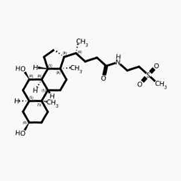 C[C@H](CCC(=O)NCCS(C)(=O)=O)[C@H]1CC[C@H]2[C@@H]3[C@H](O)C[C@@H]4C[C@H](O)CC[C@]4(C)[C@H]3CC[C@]12C